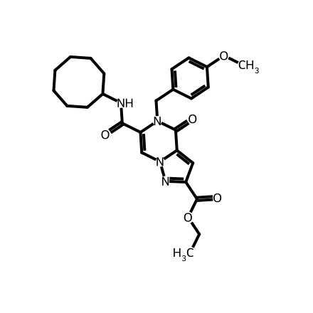 CCOC(=O)c1cc2c(=O)n(Cc3ccc(OC)cc3)c(C(=O)NC3CCCCCCC3)cn2n1